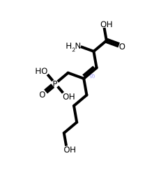 NC(/C=C(/CCCCO)CP(=O)(O)O)C(=O)O